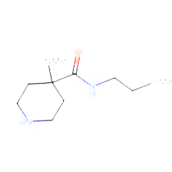 CNC1(C(=O)NCCOC)CCNCC1